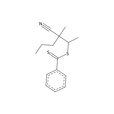 CCCC(C)(C#N)C(C)SC(=S)c1ccccc1